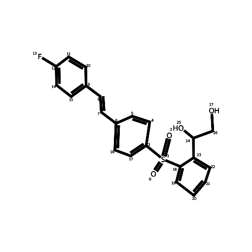 O=S(=O)(c1ccc(C=Cc2ccc(F)cc2)cc1)c1ccccc1C(O)CO